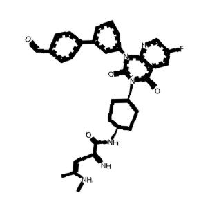 CN/C(C)=C\C(=N)C(=O)N[C@H]1CC[C@@H](n2c(=O)c3cc(F)cnc3n(-c3cccc(-c4ccc(C=O)cc4)c3)c2=O)CC1